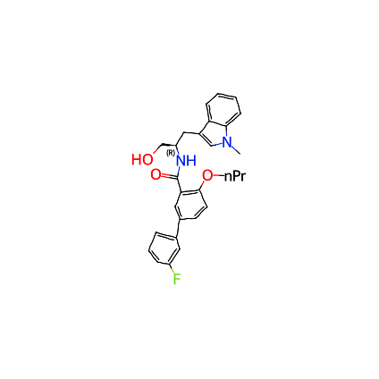 CCCOc1ccc(-c2cccc(F)c2)cc1C(=O)N[C@@H](CO)Cc1cn(C)c2ccccc12